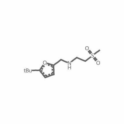 CC(C)(C)c1ccc(CNCCS(C)(=O)=O)o1